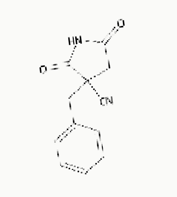 N#CC1(Cc2ccccc2)CC(=O)NC1=O